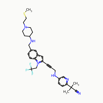 CSCCN1CCC(NCc2ccc3c(c2)cc(C#CCNc2ccc(C(C)(C)C#N)nc2)n3CC(F)(F)F)CC1